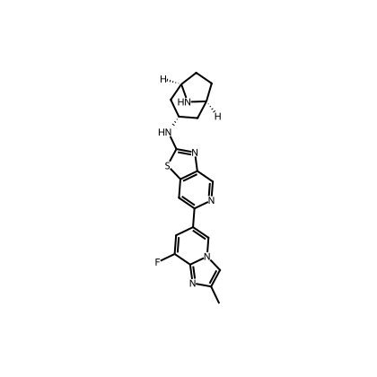 Cc1cn2cc(-c3cc4sc(N[C@@H]5C[C@H]6CC[C@@H](C5)N6)nc4cn3)cc(F)c2n1